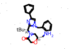 CC(C)(C)[C@H](c1nc(-c2ccccc2)cn1Cc1ccccc1)N1C[C@H](CN)OCC1=O